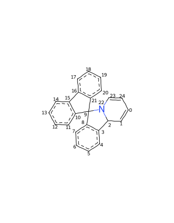 C1=CC2c3ccccc3C3(c4ccccc4-c4ccccc43)N2C=C1